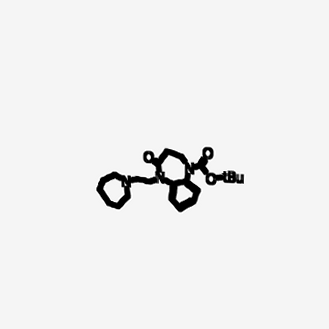 CC(C)(C)OC(=O)N1CCC(=O)N(CCN2CCCCCC2)c2ccccc21